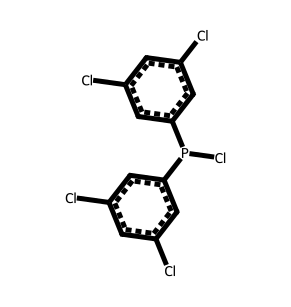 Clc1cc(Cl)cc(P(Cl)c2cc(Cl)cc(Cl)c2)c1